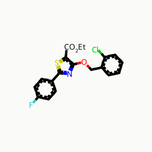 CCOC(=O)c1sc(-c2ccc(F)cc2)nc1OCc1ccccc1Cl